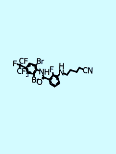 N#CCCCCNc1cccc(C(=O)Nc2c(Br)cc(C(F)(C(F)(F)F)C(F)(F)F)cc2Br)c1F